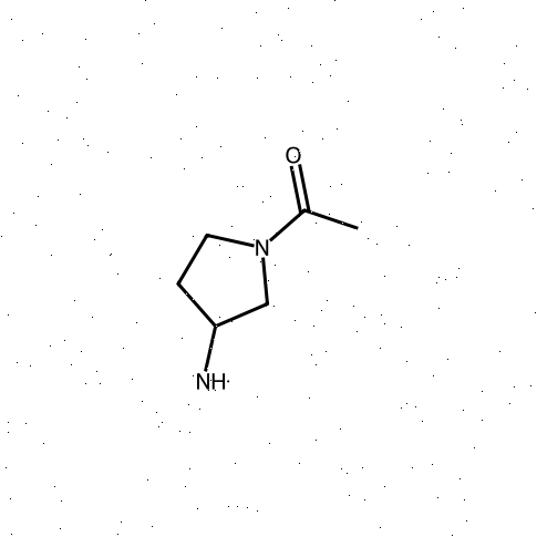 CC(=O)N1CCC([NH])C1